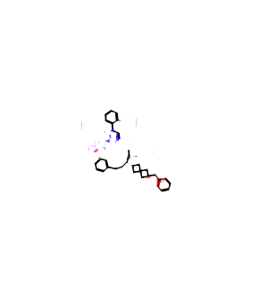 Cc1cccc(C)c1-c1cc2nc(n1)N[S+]([O-])c1cccc(c1)CCC([C@H]1CC3(C1)C[C@](O)(Cc1ccccc1)C3)[C@H](CC(C)(C)C)CO2